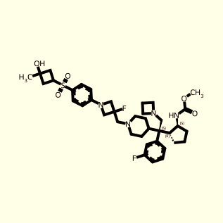 COC(=O)N[C@H]1CCC[C@@H]1[C@](CN1CCC1)(c1cccc(F)c1)C1CCN(CC2(F)CN(c3ccc(S(=O)(=O)C4CC(C)(O)C4)cc3)C2)CC1